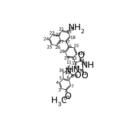 COc1ccc2c(c1)C(=O)N(C[C@@]1(c3ccc(-c4cc(N)cc5ccccc45)cc3)NC(=O)NC1=O)C2